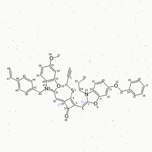 C#CCSC1=C(/C=C2/Oc3cc(OCc4ccccc4)ccc3N2CCC)C(=O)/C1=C/c1oc2cc(OC)ccc2[n+]1Cc1ccc(C=C)cc1